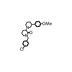 COc1ccc(C2CCCN(C3CCCN(Cc4ccc(Cl)cc4)C3=O)C2)cc1